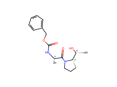 CCC[C@@H](O)[C@@H]1CCCN1C(=O)[C@@H](NC(=O)OCc1ccccc1)C(C)C